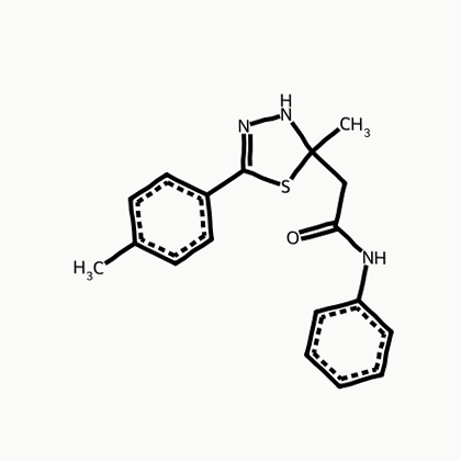 Cc1ccc(C2=NNC(C)(CC(=O)Nc3ccccc3)S2)cc1